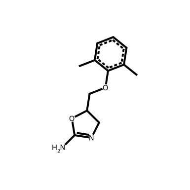 Cc1cccc(C)c1OCC1CN=C(N)O1